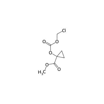 COC(=O)C1(OC(=O)OCCl)CC1